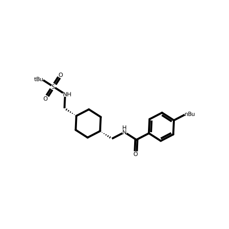 CCCCc1ccc(C(=O)NC[C@H]2CC[C@@H](CNS(=O)(=O)C(C)(C)C)CC2)cc1